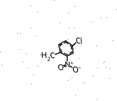 [CH2]c1ccc(Cl)cc1[N+](=O)[O-]